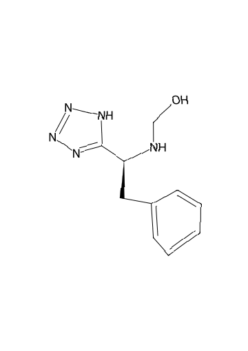 OCN[C@@H](Cc1ccccc1)c1nnn[nH]1